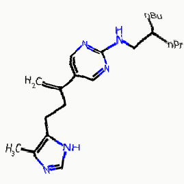 C=C(CCc1[nH]cnc1C)c1cnc(NCC(CCC)CCCC)nc1